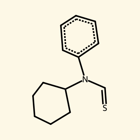 S=CN(c1ccccc1)C1CCCCC1